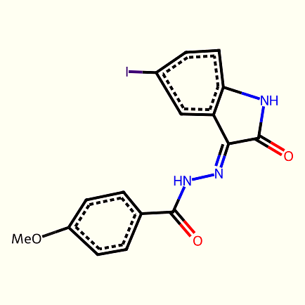 COc1ccc(C(=O)N/N=C2/C(=O)Nc3ccc(I)cc32)cc1